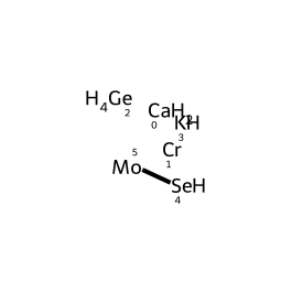 [CaH2].[Cr].[GeH4].[KH].[SeH][Mo]